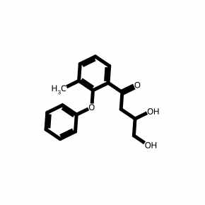 Cc1cccc(C(=O)CC(O)CO)c1Oc1ccccc1